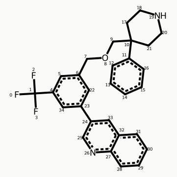 FC(F)(F)c1cc(COCC2(c3ccccc3)CCNCC2)cc(-c2cnc3ccccc3c2)c1